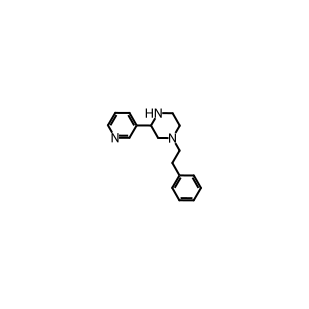 c1ccc(CCN2CCNC(c3cccnc3)C2)cc1